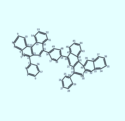 c1ccc(-c2nc3ccccc3c3c2cc(-c2ccc(-c4cc5c(-c6ccccc6)nc6cc7ccccc7cc6c5c5ccccc45)cc2)c2ccccc23)cc1